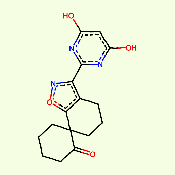 O=C1CCCCC12CCCc1c(-c3nc(O)cc(O)n3)noc12